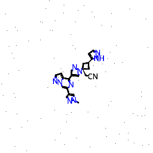 Cn1cc(-c2cn3nccc3c(-c3cnn([C@]4(CC#N)C[C@@H](c5ccn[nH]5)C4)c3)n2)cn1